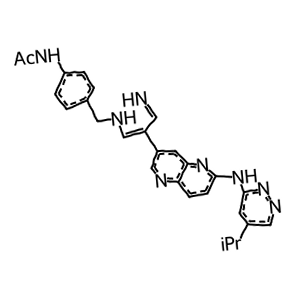 CC(=O)Nc1ccc(CN/C=C(\C=N)c2cnc3ccc(Nc4cc(C(C)C)cnn4)nc3c2)cc1